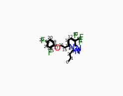 CCCc1nnc2c(C(F)(F)F)ccc(CCOc3ccc(F)cc3F)n12